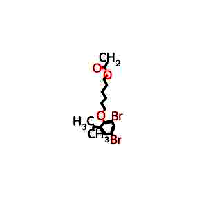 C=CC(=O)OCCCCCCOc1c(Br)cc(Br)cc1C(C)C